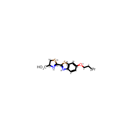 CC(C)CCOc1ccc2nc(C3=NC(C(=O)O)CS3)sc2c1